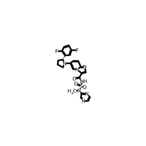 CN(c1cnccn1)S(=O)(=O)NC(=O)c1cnc2ccc(N3CCC[C@@H]3c3cc(F)ccc3F)cn12